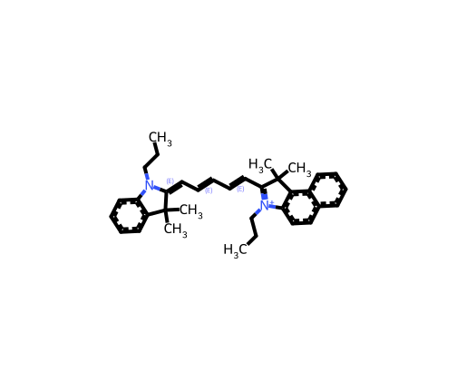 CCCN1/C(=C/C=C/C=C/C2=[N+](CCC)c3ccc4ccccc4c3C2(C)C)C(C)(C)c2ccccc21